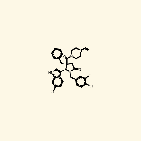 O=CN1CCN(C(=O)[C@]2(Cc3ccccc3)CC(=O)N(Cc3ccc(Cl)c(F)c3)[C@H]2c2c[nH]c3cc(Cl)ccc23)CC1